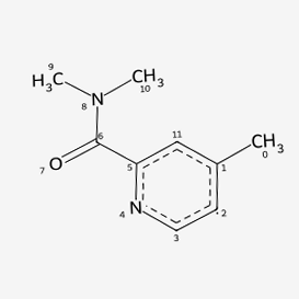 Cc1[c]cnc(C(=O)N(C)C)c1